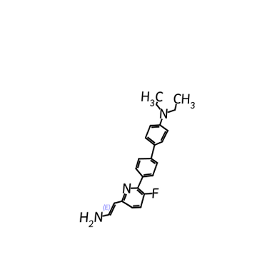 CCN(CC)c1ccc(-c2ccc(-c3nc(/C=C/N)ccc3F)cc2)cc1